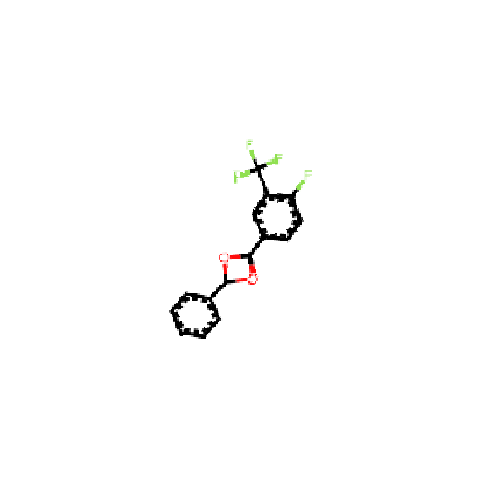 Fc1ccc(C2OC(c3ccccc3)O2)cc1C(F)(F)F